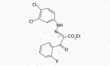 CCOC(=O)/C(=N\Nc1ccc(Cl)c(Cl)c1)C(=O)c1ccccc1F